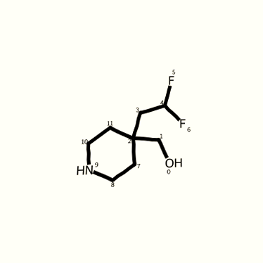 OCC1(CC(F)F)CCNCC1